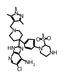 Cc1nn(C)c(C)c1CN1CCC(c2ccc(N3CCNCC3S(C)(=O)=O)cc2)(c2nc3c(N)c(Cl)cnc3[nH]2)CC1